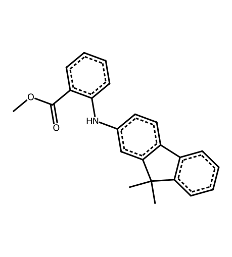 COC(=O)c1ccccc1Nc1ccc2c(c1)C(C)(C)c1ccccc1-2